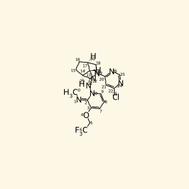 C/N=c1/c(OCC(F)(F)F)cccn1/N=N/[C@@H]1[C@@H]2CC[C@H]1CN(c1cc(Cl)ncn1)C2